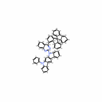 c1ccc(-n2c3ccccc3c3cc4c5ccccc5n(-c5nc(-c6cccc7c6-c6ccccc6C76c7ccccc7-c7ccccc76)c6ccccc6n5)c4cc32)cc1